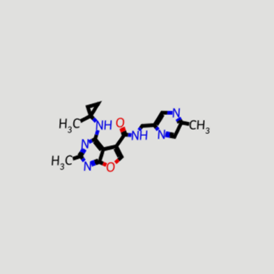 Cc1cnc(CNC(=O)c2coc3nc(C)nc(NC4(C)CC4)c23)cn1